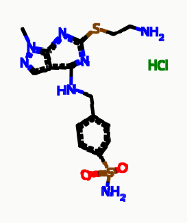 Cl.Cn1ncc2c(NCc3ccc(S(N)(=O)=O)cc3)nc(SCCN)nc21